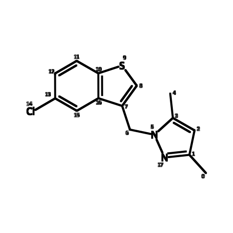 Cc1cc(C)n(Cc2csc3ccc(Cl)cc23)n1